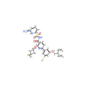 CC(C)COc1cc(F)cc(-c2ccc(C(=O)NS(=O)(=O)c3cccc(N)n3)c(OC3CC(F)(F)C3)n2)c1